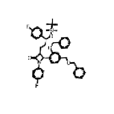 CC(C)(C)[Si](C)(C)O[C@@H](CCC1C(=O)N(c2ccc(F)cc2)[C@@H]1c1ccc(COCc2ccccc2)cc1OCc1ccccc1)c1ccc(F)cc1